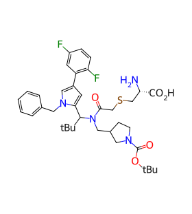 CC(C)(C)OC(=O)N1CCC(CN(C(=O)CSC[C@H](N)C(=O)O)C(c2cc(-c3cc(F)ccc3F)cn2Cc2ccccc2)C(C)(C)C)C1